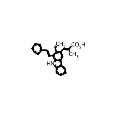 C=Cc1c(C=C(C)C(=O)O)cc2c([nH]c3ccccc32)c1C=Cc1ccccc1